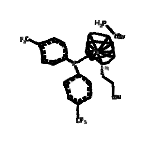 CC(C)(C)CC[C@]12[CH]3[CH]4[CH]5[C]1(P(c1ccc(C(F)(F)F)cc1)c1ccc(C(F)(F)F)cc1)[Fe]45321678[CH]2[CH]1[CH]6[CH]7[CH]28.CC(C)(C)P